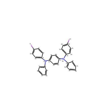 Ic1ccc(N(c2ccccc2)c2ccc(N(c3ccccc3)c3ccc(I)cc3)cc2)cc1